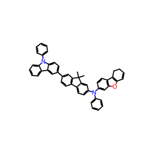 CC1(C)c2cc(-c3ccc4c(c3)c3ccccc3n4-c3ccccc3)ccc2-c2ccc(N(c3ccccc3)c3ccc4c5c(oc4c3)C=CCC5)cc21